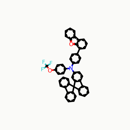 FC(F)(F)Oc1ccc(N(c2ccc(-c3cccc4c3oc3ccccc34)cc2)c2ccc3c(c2)C2(c4ccccc4-c4ccccc42)c2ccccc2-3)cc1